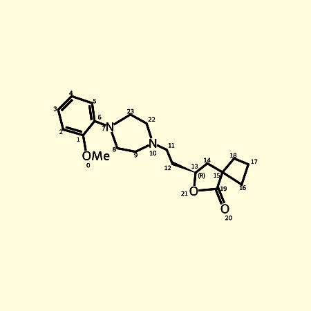 COc1ccccc1N1CCN(CC[C@H]2CC3(CCC3)C(=O)O2)CC1